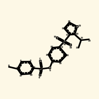 Cc1ccc(S(=O)(=O)Oc2ccc(S(=O)(=O)c3ccoc3C(C)C)cc2)cc1